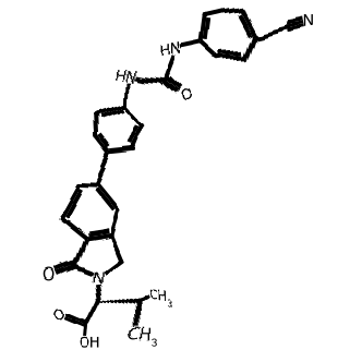 CC(C)[C@@H](C(=O)O)N1Cc2cc(-c3ccc(NC(=O)Nc4ccc(C#N)cc4)cc3)ccc2C1=O